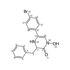 O=C1C(Cc2ccccc2)NC(c2ccc(Br)cc2)=CN1O